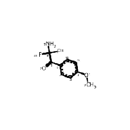 COc1ccc(C(=O)C(N)(F)F)cc1